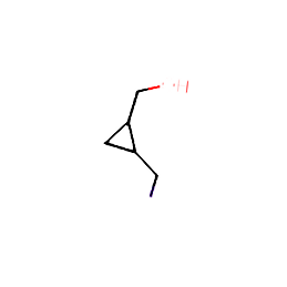 OCC1CC1CI